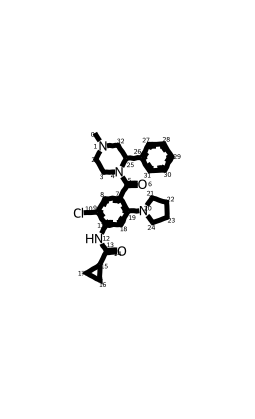 CN1CCN(C(=O)c2cc(Cl)c(NC(=O)C3CC3)cc2N2CCCC2)C(c2ccccc2)C1